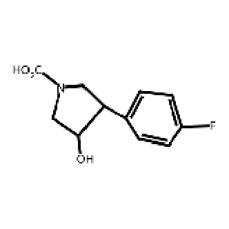 O=C(O)N1CC(O)C(c2ccc(F)cc2)C1